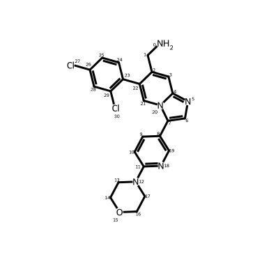 NCc1cc2ncc(-c3ccc(N4CCOCC4)nc3)n2cc1-c1ccc(Cl)cc1Cl